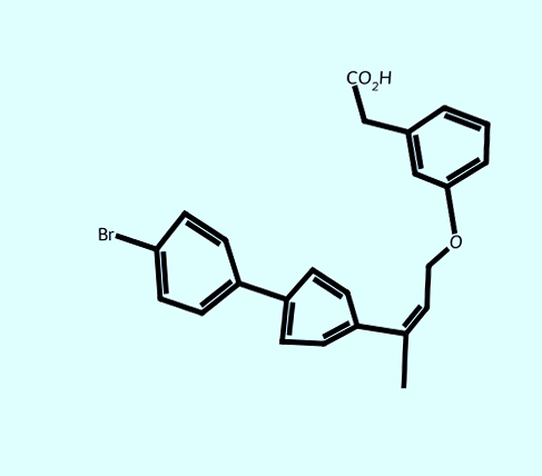 CC(=CCOc1cccc(CC(=O)O)c1)c1ccc(-c2ccc(Br)cc2)cc1